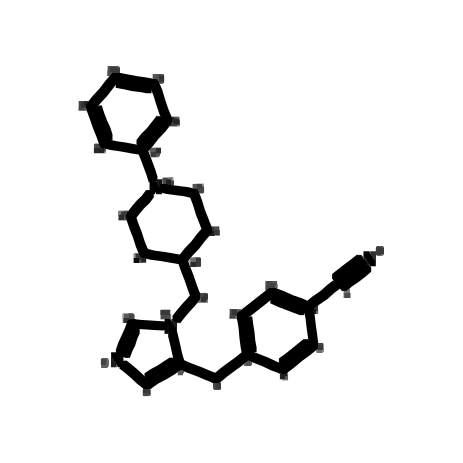 N#Cc1ccc(Cc2cncn2CC2CCN(c3ccccc3)CC2)cc1